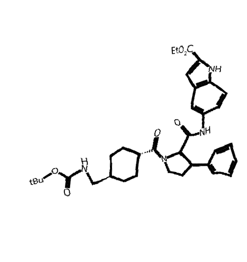 CCOC(=O)c1cc2cc(NC(=O)C3C(c4ccccc4)CCN3C(=O)[C@H]3CC[C@H](CNC(=O)OC(C)(C)C)CC3)ccc2[nH]1